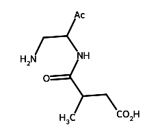 CC(=O)C(CN)NC(=O)C(C)CC(=O)O